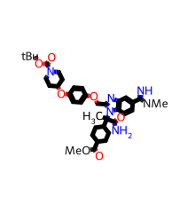 CNC(=N)c1ccc2c(c1)nc(COc1ccc(OC3CCN(C(=O)OC(C)(C)C)CC3)cc1)n2C(C)(C(N)=O)C1CCC(C(=O)OC)CC1